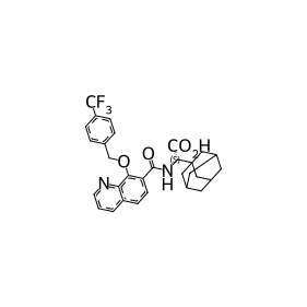 O=C(N[C@H](C(=O)O)C12CC3CC(CC(C3)C1)C2)c1ccc2cccnc2c1OCc1ccc(C(F)(F)F)cc1